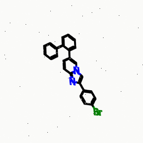 Brc1ccc(-c2cn3cc(-c4ccccc4-c4ccccc4)ccc3n2)cc1